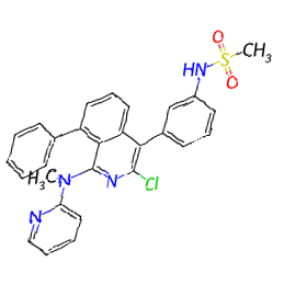 CN(c1ccccn1)c1nc(Cl)c(-c2cccc(NS(C)(=O)=O)c2)c2cccc(-c3ccccc3)c12